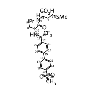 CSCC[C@H](NC(=O)[C@H](CC(C)C)N[C@@H](c1ccc(-c2ccc(S(C)(=O)=O)cc2)cc1)C(F)(F)F)C(=O)O